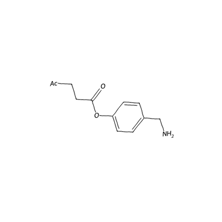 CC(=O)CCC(=O)Oc1ccc(CN)cc1